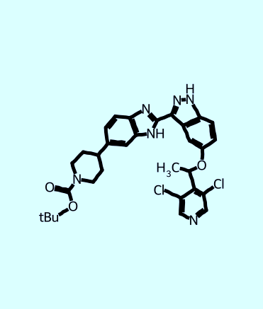 CC(Oc1ccc2[nH]nc(-c3nc4ccc(C5CCN(C(=O)OC(C)(C)C)CC5)cc4[nH]3)c2c1)c1c(Cl)cncc1Cl